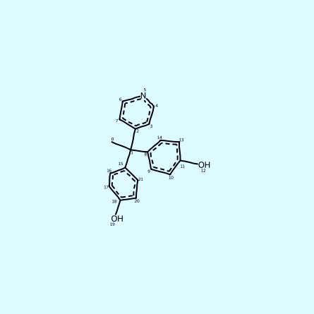 CC(c1ccncc1)(c1ccc(O)cc1)c1ccc(O)cc1